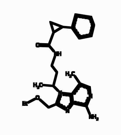 CCOCc1nc2c(N)ncc(C)c2n1C(C)CCNC(=O)C1CC1c1ccccc1